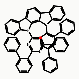 c1ccc(-c2ccc(-n3c4ccccc4c4ccc5c6ccccc6n(-c6nc(-c7ccccc7)nc(-c7ccccc7-c7ccccc7)n6)c5c43)c(-c3ccccc3)c2)cc1